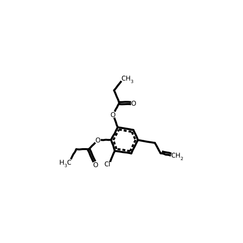 C=CCc1cc(Cl)c(OC(=O)CC)c(OC(=O)CC)c1